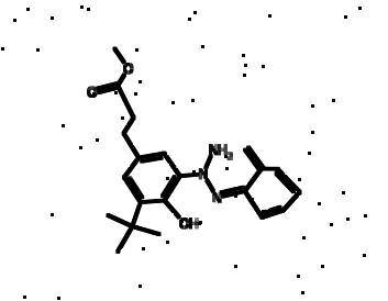 C=C1C=CC=C/C1=N/N(N)c1cc(CCC(=O)OC)cc(C(C)(C)C)c1O